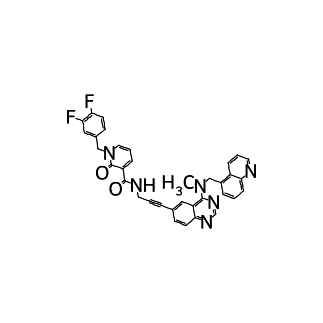 CN(Cc1cccc2ncccc12)c1ncnc2ccc(C#CCNC(=O)c3cccn(Cc4ccc(F)c(F)c4)c3=O)cc12